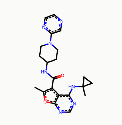 Cc1oc2ncnc(NC3(C)CC3)c2c1C(=O)NC1CCN(c2cnccn2)CC1